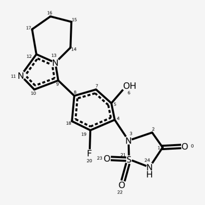 O=C1CN(c2c(O)cc(-c3cnc4n3CCCC4)cc2F)S(=O)(=O)N1